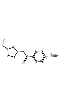 [CH2]CC1C[CH]C(CC(=O)c2ccc(C#N)cc2)C1